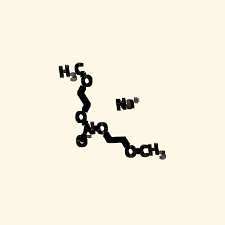 COCC[O][Al]([O-])[O]CCOC.[Na+]